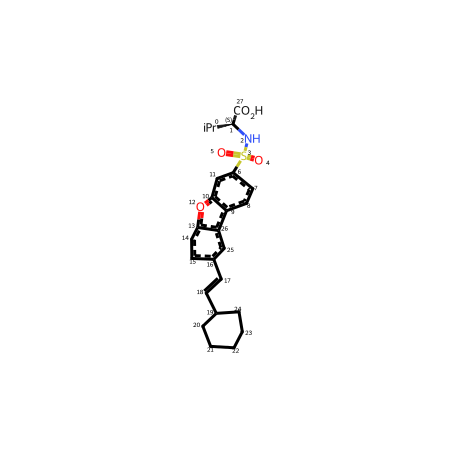 CC(C)[C@H](NS(=O)(=O)c1ccc2c(c1)oc1ccc(C=CC3CCCCC3)cc12)C(=O)O